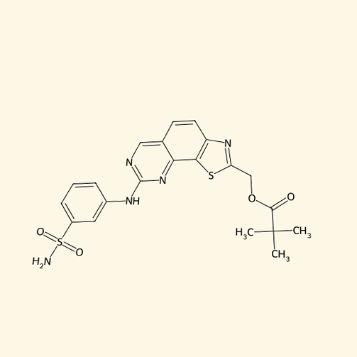 CC(C)(C)C(=O)OCc1nc2ccc3cnc(Nc4cccc(S(N)(=O)=O)c4)nc3c2s1